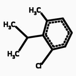 Cc1cccc(Cl)c1C(C)C